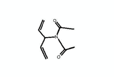 C=CC(C=C)N(C(C)=O)C(C)=O